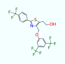 OCCc1sc(-c2ccc(C(F)(F)F)cc2)nc1COc1cc(C(F)(F)F)cc(C(F)(F)F)c1